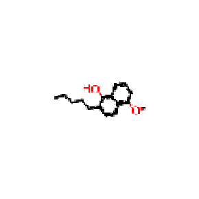 CCCCCc1ccc2c(OC)cccc2c1O